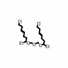 CCC(CCC=CCCCl)OCOCOC(CC)CCC=CCCCl